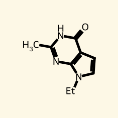 CCn1ccc2c(=O)[nH]c(C)nc21